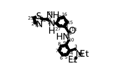 CCN(CC)Cc1ccccc1CNC(=O)c1cccc(NC(=N)c2nccs2)c1